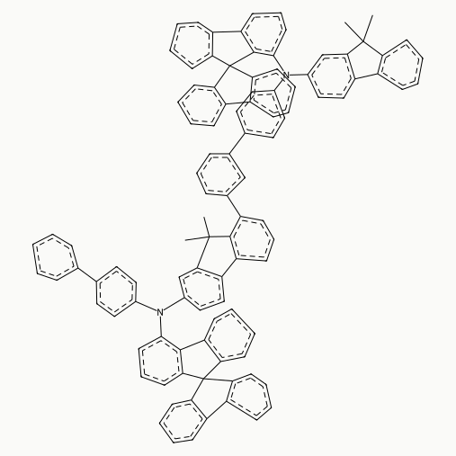 CC1(C)c2ccccc2-c2ccc(N(c3ccc(-c4cccc(-c5cccc6c5C(C)(C)c5cc(N(c7ccc(-c8ccccc8)cc7)c7cccc8c7-c7ccccc7C87c8ccccc8-c8ccccc87)ccc5-6)c4)cc3)c3cccc4c3C3(c5ccccc5-c5ccccc53)c3ccccc3-4)cc21